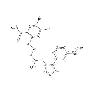 COC(=O)c1cc(Br)c(F)cc1OCCC(C)Cn1cnnc1-c1cccc(NC=O)n1